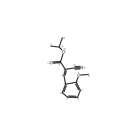 COc1ccccc1/C=C(\C#N)C(=O)OC(C)C